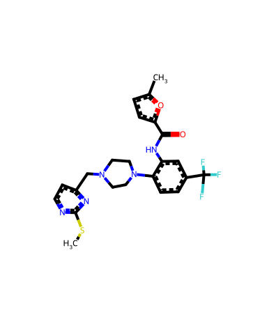 CSc1nccc(CN2CCN(c3ccc(C(F)(F)F)cc3NC(=O)c3ccc(C)o3)CC2)n1